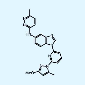 COc1cc(C)n(-c2[c]ccc(-n3cnc4cc(Nc5ccc(C)nn5)ccc43)n2)n1